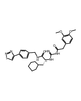 COc1ccc(CC(=O)NC(=N)N[C@H](CC2CCCCC2)C(=O)NCc2ccc(-c3csnn3)cc2)cc1OC